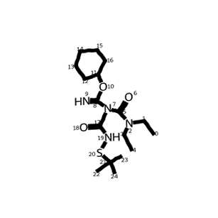 CCN(CC)C(=O)N(C(=N)OC1CCCCC1)C(=O)NSC(C)(C)C